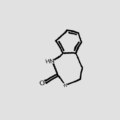 O=C1[N]CCc2ccccc2N1